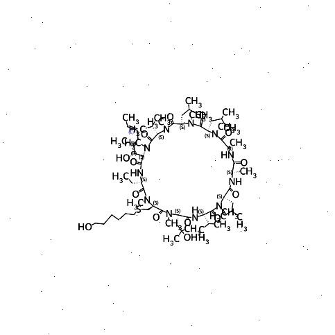 C/C=C/C[C@@H](C)[C@@H](O)[C@H]1C(=O)N[C@@H](CC)C(=O)N(C)[C@H](CSCCCCCCO)C(=O)N(C)[C@@H](CC(C)(C)O)C(=O)N[C@@H](C(C)C)C(=O)N(C)[C@@H](CC(C)C)C(=O)N[C@@H](C)C(=O)N[C@H](C)C(=O)N(C)[C@@H](CC(C)C)C(=O)N(C)[C@@H](CC(C)C)C(=O)N(C)[C@@H](C(C)C)C(=O)N1C